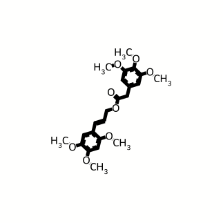 COc1cc(OC)c(OC)cc1/C=C/COC(=O)Cc1cc(OC)c(OC)c(OC)c1